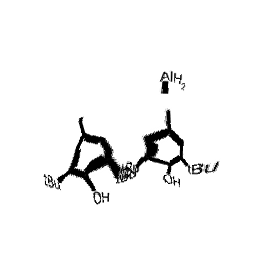 Cc1cc(C(C)(C)C)c(O)c(C(C)(C)C)c1.Cc1cc(C(C)(C)C)c(O)c(C(C)(C)C)c1.[CH3][AlH2]